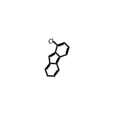 Clc1cccc2c1=CC1=CCC=CC=21